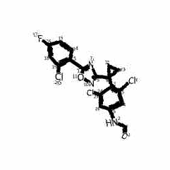 O=CNc1cc(Cl)c(C2(c3noc(-c4ccc(F)cc4Cl)n3)CC2)c(Cl)c1